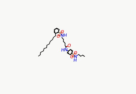 CCCCCCCCCCCCc1ccccc1S(=O)(=O)NCCCCCC(=O)Nc1ccc(S(=O)(=O)NCCCC)cc1